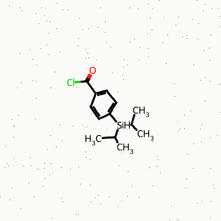 CC(C)[SiH](c1ccc(C(=O)Cl)cc1)C(C)C